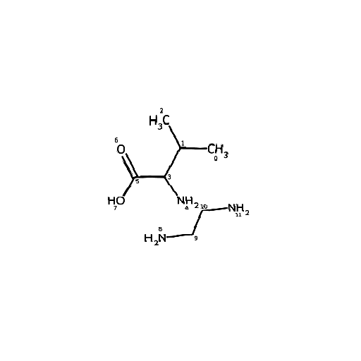 CC(C)C(N)C(=O)O.NCCN